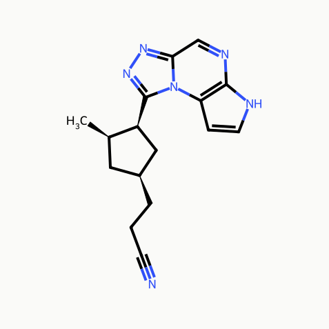 C[C@@H]1C[C@H](CCC#N)C[C@@H]1c1nnc2cnc3[nH]ccc3n12